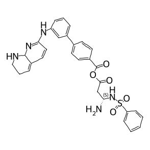 N[C@H](CC(=O)OC(=O)c1ccc(-c2cccc(NC3=NC4NCCC=C4C=C3)c2)cc1)NS(=O)(=O)c1ccccc1